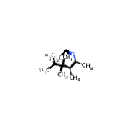 C/C=N\[C@@H](C)[C@@H](C)C(C)(C)C(C)C